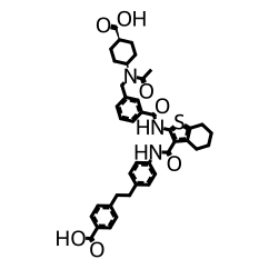 CC(=O)N(Cc1cccc(C(=O)Nc2sc3c(c2C(=O)Nc2ccc(CCc4ccc(C(=O)O)cc4)cc2)CCCC3)c1)[C@H]1CC[C@H](C(=O)O)CC1